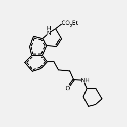 CCOC(=O)C1C=Cc2c(ccc3cccc(CCCC(=O)NC4CCCCC4)c23)N1